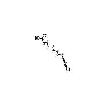 C#CC#CCCCCCCCCC(=O)O